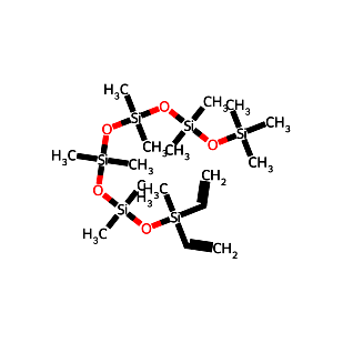 C=C[Si](C)(C=C)O[Si](C)(C)O[Si](C)(C)O[Si](C)(C)O[Si](C)(C)O[Si](C)(C)C